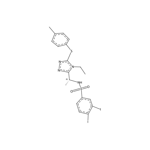 CCn1c(Sc2ccc(C)cc2)nnc1[C@@H](C)NS(=O)(=O)c1ccc(I)c(I)c1